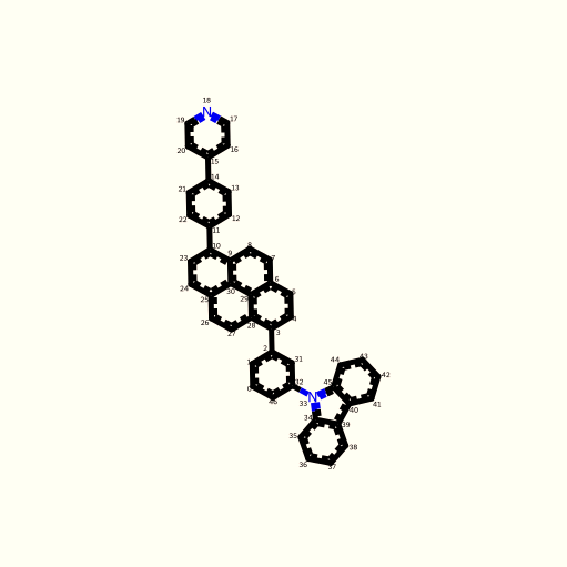 c1cc(-c2ccc3ccc4c(-c5ccc(-c6ccncc6)cc5)ccc5ccc2c3c54)cc(-n2c3ccccc3c3ccccc32)c1